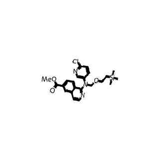 COC(=O)c1ccc2c(N(COCC[Si](C)(C)C)c3ccc(Cl)nc3)nccc2c1